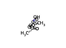 CCCCC1CN(c2ccccc2)c2cc(SCC)c(O/C=C/C(=O)O)cc2S(=O)(=O)C1